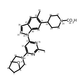 Cc1nc(N2CC3CCC(C2)O3)cc(-n2ncc3cc(C)c(C4CCN(C(=O)O)CC4)cc32)n1